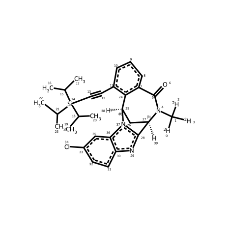 [2H]C([2H])([2H])N1C(=O)c2cccc(C#C[Si](C(C)C)(C(C)C)C(C)C)c2[C@H]2C[C@@H]1c1nc3ccc(Cl)cc3n12